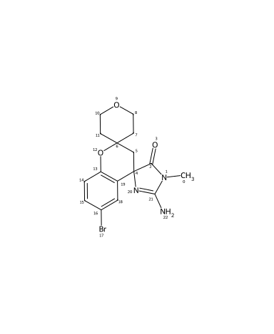 CN1C(=O)C2(CC3(CCOCC3)Oc3ccc(Br)cc32)N=C1N